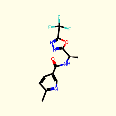 Cc1ccc(C(=O)N[C@H](C)c2nnc(C(F)(F)F)o2)cn1